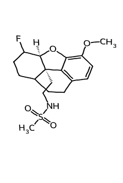 COc1ccc2c3c1O[C@@H]1C(F)CCC(CC2)[C@]31CCNS(C)(=O)=O